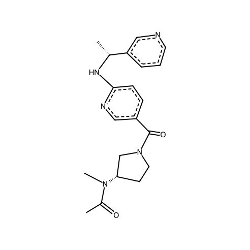 CC(=O)N(C)[C@H]1CCN(C(=O)c2ccc(N[C@H](C)c3cccnc3)nc2)C1